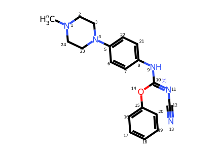 CN1CCN(c2ccc(N/C(=N/C#N)Oc3ccccc3)cc2)CC1